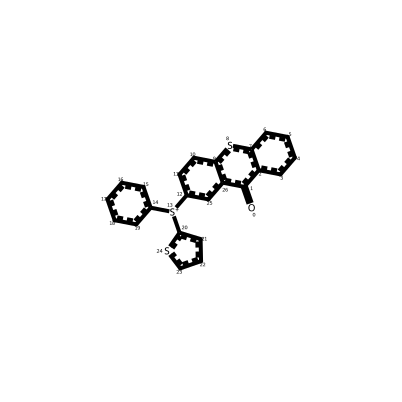 O=c1c2ccccc2sc2ccc([S+](c3ccccc3)c3cccs3)cc12